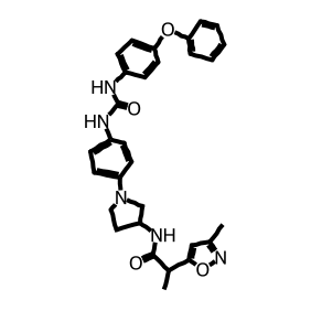 Cc1cc(C(C)C(=O)NC2CCN(c3ccc(NC(=O)Nc4ccc(Oc5ccccc5)cc4)cc3)C2)on1